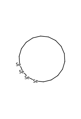 C1CCCCCCC[Se][Se][Se][Se]CCCCCC1